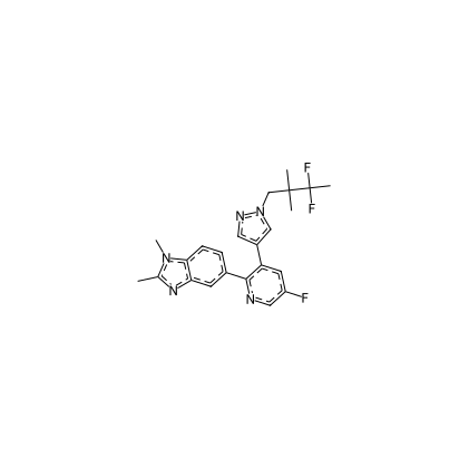 Cc1nc2cc(-c3ncc(F)cc3-c3cnn(CC(C)(C)C(C)(F)F)c3)ccc2n1C